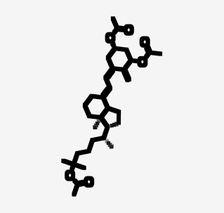 C=C1/C(=C\C=C2CCC[C@@]3(C)C2CC[C@@H]3[C@H](C)CCCC(C)(C)OC(C)=O)C[C@@H](OC(C)=O)CC1OC(C)=O